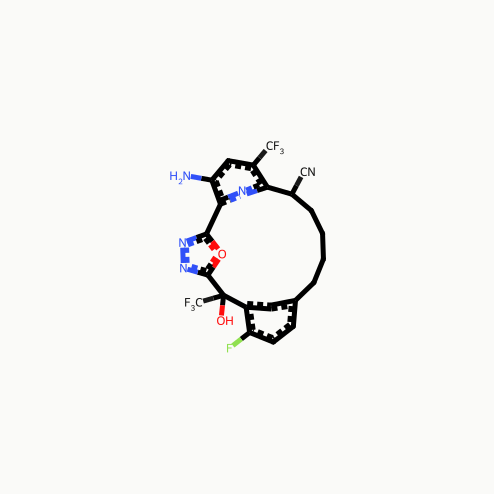 N#CC1CCCCc2ccc(F)c(c2)C(O)(C(F)(F)F)c2nnc(o2)-c2nc1c(C(F)(F)F)cc2N